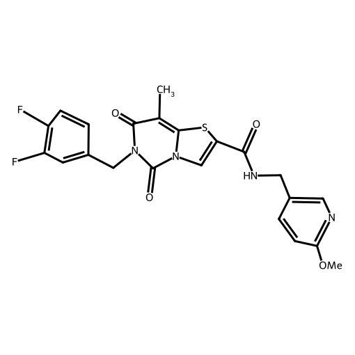 COc1ccc(CNC(=O)c2cn3c(=O)n(Cc4ccc(F)c(F)c4)c(=O)c(C)c3s2)cn1